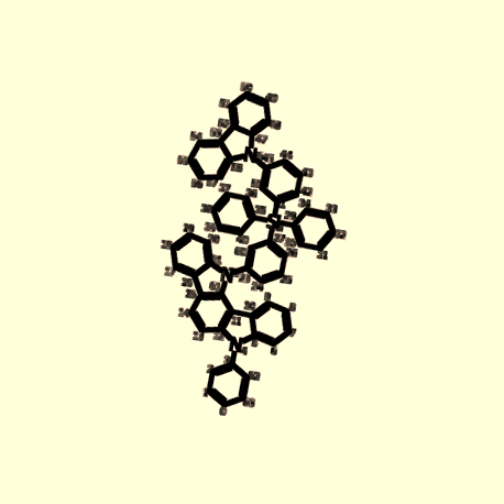 c1ccc(-n2c3ccccc3c3c2ccc2c4ccccc4n(-c4cccc([Si](c5ccccc5)(c5ccccc5)c5cccc(-n6c7ccccc7c7ccccc76)c5)c4)c23)cc1